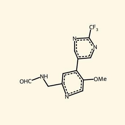 COc1cnc(CNC=O)cc1-c1cnc(C(F)(F)F)nc1